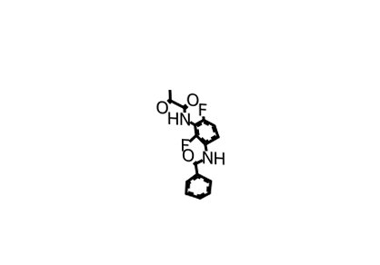 CC(=O)C(=O)Nc1c(F)ccc(NC(=O)c2ccccc2)c1F